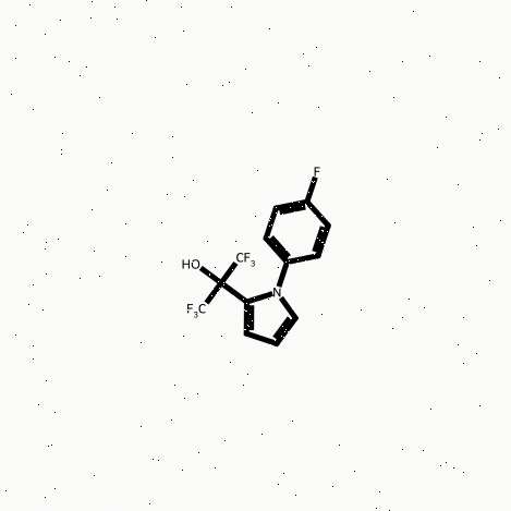 OC(c1cccn1-c1ccc(F)cc1)(C(F)(F)F)C(F)(F)F